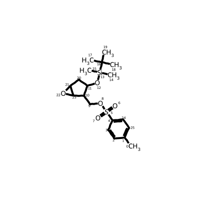 Cc1ccc(S(=O)(=O)OCC2C(O[Si](C)(C)C(C)(C)C)CC3OC32)cc1